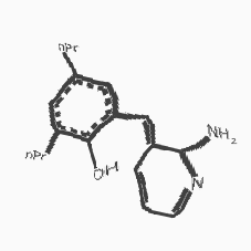 CCCc1cc(C=C2C=CC=NC2N)c(O)c(CCC)c1